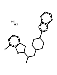 CN(CC1CCN(c2nc3ccccc3s2)CC1)C1Cc2cccc(F)c2O1.Cl.Cl